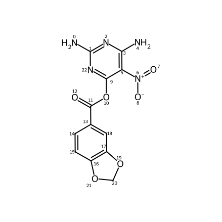 Nc1nc(N)c([N+](=O)[O-])c(OC(=O)c2ccc3c(c2)OCO3)n1